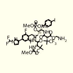 COC(=O)N[C@H](C(=O)NN(Cc1c(F)cc(-c2ccn(C(F)F)n2)cc1F)C[C@H](OP(=O)(OC)OC)[C@H](Cc1ccc(I)cc1)NC(=O)[C@@H](C(=O)OCN)C(C)(C)C(F)(F)F)C(C)(C)C(F)(F)F